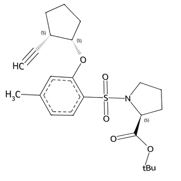 C#C[C@@H]1CCC[C@@H]1Oc1cc(C)ccc1S(=O)(=O)N1CCC[C@H]1C(=O)OC(C)(C)C